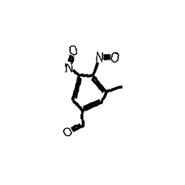 Cc1cc(C=O)cc(N=O)c1N=O